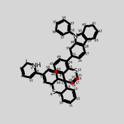 C1=CCNC(C2=CC3SC4C=CC=CC4C4(C5=CC=CCC5Sc5c(C6C=Cc7c8c(n(-c9ccccc9)c7C6)CCC=C8)cccc54)C3C=C2)=C1